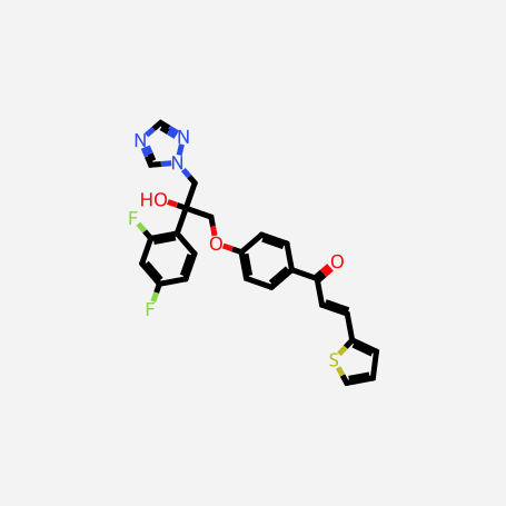 O=C(/C=C/c1cccs1)c1ccc(OCC(O)(Cn2cncn2)c2ccc(F)cc2F)cc1